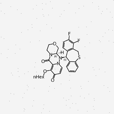 CCCCCCOc1c2n(ccc1=O)N([C@@H]1c3ccccc3SCc3c1ccc(F)c3F)[C@@H]1COCCN1C2=O